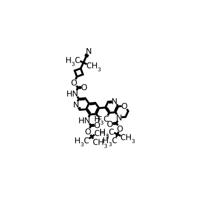 Cc1c(-c2cc3cc(NC(=O)OC4CC(C(C)(C)C#N)C4)ncc3c(NC(=O)OC(C)(C)C)c2F)cnc2c1N(C(=O)OC(C)(C)C)CCO2